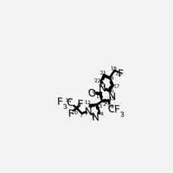 O=c1c(-c2cnn(CC(F)(F)C(F)(F)F)c2)c(C(F)(F)F)nc2cc(CF)ccn12